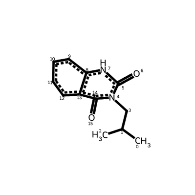 CC(C)Cn1c(=O)[nH]c2ccccc2c1=O